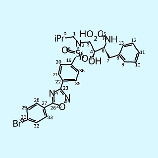 CC(C)CN(C[C@H](O)[C@H](Cc1ccccc1)NC(=O)O)S(=O)(=O)c1ccc(-c2noc(-c3ccc(Br)cc3)n2)cc1